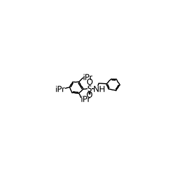 CC(C)c1cc(C(C)C)c(S(=O)(=O)NCc2ccccc2)c(C(C)C)c1